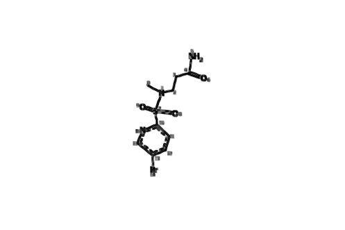 CN(CCC(N)=O)S(=O)(=O)c1ccc(Br)cn1